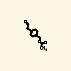 CC(=O)OCC1=CC=C(CC=O)CC1